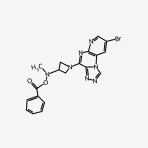 CN(OC(=O)c1ccccc1)C1CN(c2nc3ncc(Br)cc3n3cnnc23)C1